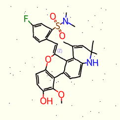 COc1c(O)ccc2c1-c1ccc3c(c1/C(=C/c1ccc(F)cc1S(=O)(=O)N(C)C)O2)C(C)=CC(C)(C)N3